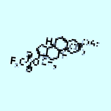 CC(=O)O[C@H]1CC[C@@]2(C)C(=CC[C@H]3C4CC=C(OS(=O)(=O)C(F)(F)F)[C@@]4(C)CC[C@@H]32)C1